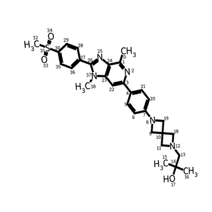 Cc1nc(-c2ccc(N3CC4(CN(CC(C)(C)O)C4)C3)cc2)cc2c1nc(-c1ccc(S(C)(=O)=O)cc1)n2C